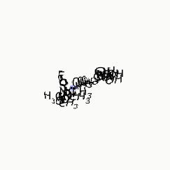 CC(C)c1nc(N(C)S(C)(=O)=O)nc(-c2ccc(F)cc2)c1/C=C/C(O)CC(O)CC(=O)OCCOCC(CON(O)O)ON(O)O